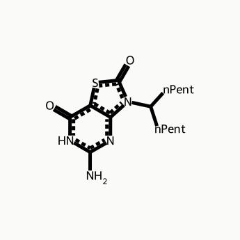 CCCCCC(CCCCC)n1c(=O)sc2c(=O)[nH]c(N)nc21